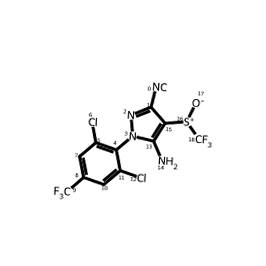 [C-]#[N+]c1nn(-c2c(Cl)cc(C(F)(F)F)cc2Cl)c(N)c1[S+]([O-])C(F)(F)F